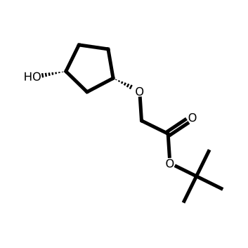 CC(C)(C)OC(=O)CO[C@H]1CC[C@@H](O)C1